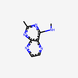 CNc1nc(C)nc2nccnc12